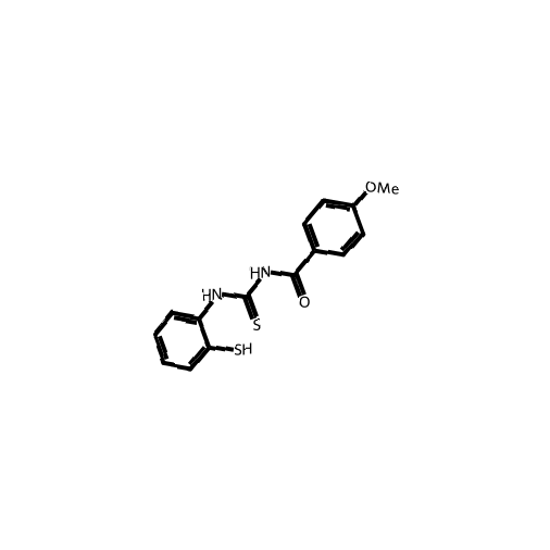 COc1ccc(C(=O)NC(=S)Nc2ccccc2S)cc1